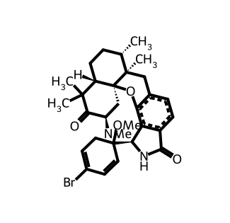 CN[C@@H]1C[C@@]23Oc4c(ccc5c4[C@H](C4(OC)C=CC(Br)=CC4)NC5=O)C[C@]2(C)[C@@H](C)CC[C@H]3C(C)(C)C1=O